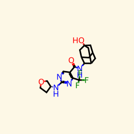 O=C(NC1C2CC3CC1CC(O)(C3)C2)c1cnc(N[C@@H]2CCOC2)nc1C(F)(F)F